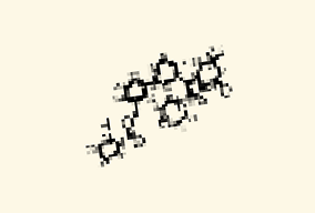 CC1(C)CC(=O)c2sc(N3CCOCC3)c(-c3ccnc(-c4cccc(COC(=O)[C@@H]5CCCN5)c4)c3)c2C1